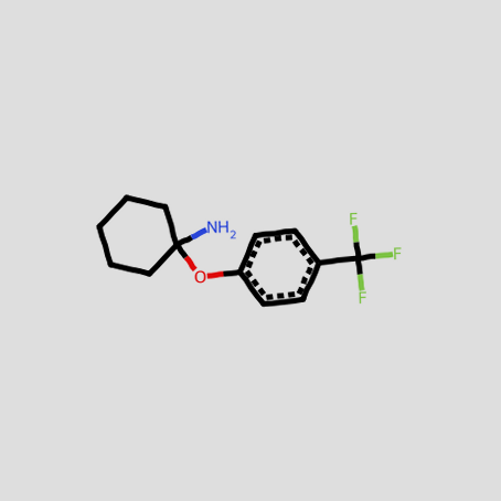 NC1(Oc2ccc(C(F)(F)F)cc2)CCCCC1